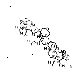 CO[C@@H]1C[C@@]23COC[C@@](C)([C@@H]2CC[C@H]2C3=CC[C@@]3(C)[C@H](C(=O)O)[C@@](C)([C@H](C)C(C)C)CC[C@]23C)[C@H]1OC[C@](C)(N)C(C)(C)C